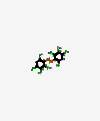 Fc1cc(F)c(SSc2c(F)cc(F)c(F)c2F)c(F)c1F